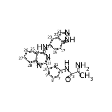 C[C@H](N)C(=O)Nc1cccc(-c2nc(Nc3ccc4[nH]ncc4c3)c3ccccc3n2)c1